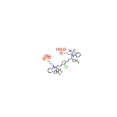 C/C(=C\C=C1/CCC(/C=C/C(C)=[N+](\CCCCS(=O)(=O)O)c2ccccc2C)=C1Cl)N(CCCCS(=O)(=O)O)C1C=CC=CC1C